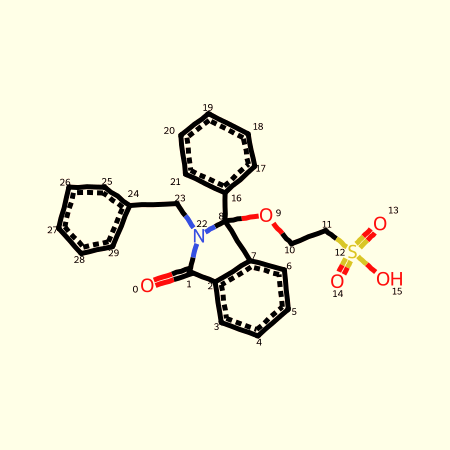 O=C1c2ccccc2C(OCCS(=O)(=O)O)(c2ccccc2)N1Cc1ccccc1